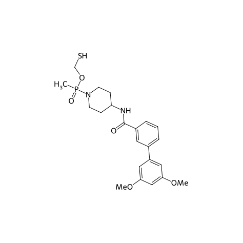 COc1cc(OC)cc(-c2cccc(C(=O)NC3CCN(P(C)(=O)OCS)CC3)c2)c1